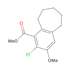 COC(=O)c1c(Cl)c(OC)cc2c1CCCCC2